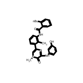 CCCCc1ccccc1C(=O)Nc1cccc(-c2cn(C)c(=O)c(Nc3cccc(O)c3)n2)c1C